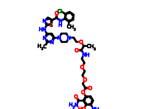 Cc1nc(Nc2ncc(C(=O)Nc3c(C)cccc3Cl)s2)cc(N2CCN(CCOC(C)C(=O)NCCOCCOCC(=O)Oc3ccc(N)c(O)c3C(N)=O)CC2)n1